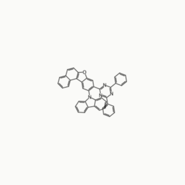 c1ccc(-c2nc(-c3ccccc3)nc(-c3cc4oc5ccc6ccccc6c5c4cc3-n3c4ccccc4c4ccccc43)n2)cc1